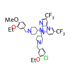 CCOc1cc(CN2CCC(N(c3ccc(C(F)(F)F)cn3)N(c3ccc(C(F)(F)F)cn3)C3CCN(Cc4ccc(OC)c(OCC)c4)CC3)CC2)ccc1Cl